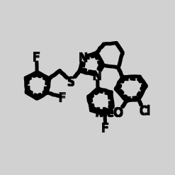 COc1cc(C2CCCc3nc(SCc4c(F)cccc4F)n(-c4ccc(F)cc4)c32)ccc1Cl